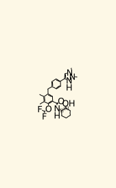 Cc1c(Cc2ccc(C3=CN(C)N(C)N3)cc2)cc(C(=O)N[C@H]2CCCC[C@@H]2O)c(OC(F)F)c1C